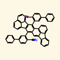 N#Cc1ccc(-c2ccccc2)cc1-c1c2cc3c4ccccc4c4cccc(c2c(-c2cc(-c5ccccc5)ccc2C#N)c2c5cccc6cccc(c12)c65)c43